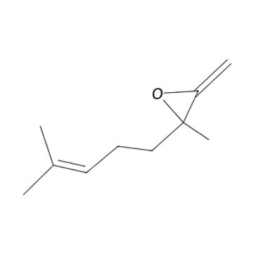 C=C1OC1(C)CCC=C(C)C